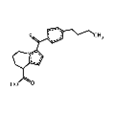 CCCCc1ccc(C(=S)c2ccc3n2CCCC3C(=O)O)cc1